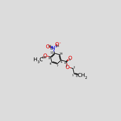 C=CCOC(=O)c1ccc(OC)c([N+](=O)[O-])c1